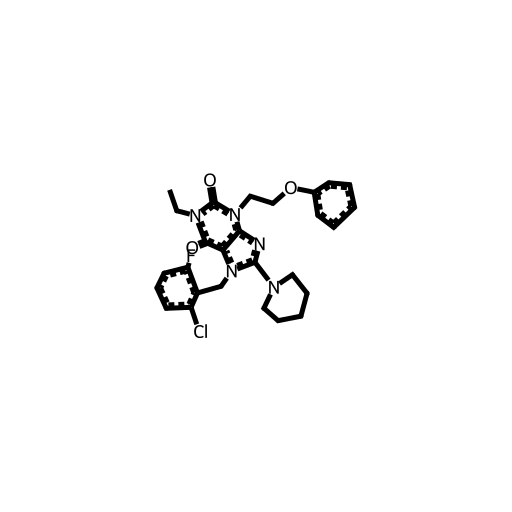 CCn1c(=O)c2c(nc(N3CCCCC3)n2Cc2c(F)cccc2Cl)n(CCOc2ccccc2)c1=O